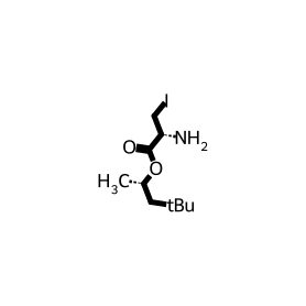 C[C@@H](CC(C)(C)C)OC(=O)[C@@H](N)CI